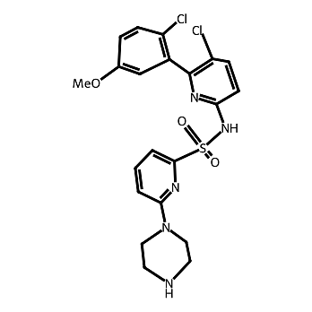 COc1ccc(Cl)c(-c2nc(NS(=O)(=O)c3cccc(N4CCNCC4)n3)ccc2Cl)c1